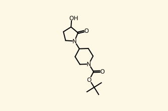 CC(C)(C)OC(=O)N1CCC(N2CCC(O)C2=O)CC1